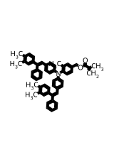 C=C(C)C(=O)OCc1ccc(N(c2ccc(/C=C(/c3ccccc3)c3ccc(C)c(C)c3)cc2)c2ccc(/C=C(\c3ccccc3)c3ccc(C)c(C)c3)cc2)c(C)c1